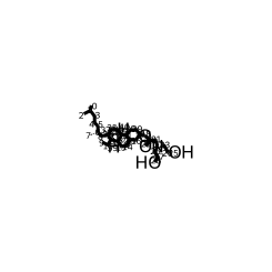 CC(C)CCC[C@@H](C)[C@H]1CC[C@H]2[C@@H]3CC=C4CC(OC(=O)CN(CCO)CCO)CC[C@]4(C)[C@H]3CC[C@]12C